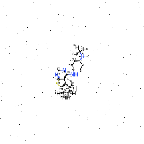 [2H]C([2H])([2H])N(C)[C@H]1CC[C@H](Nc2ncnc3sc4c(c23)C([2H])([2H])C([2H])([2H])C4([2H])[2H])CC1